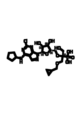 O=P(O)(O)[C@](CO)(COCC1CC1)OC[C@@H]1O[C@H](n2ncc3c(NC4CCCC4)nc(Cl)nc32)[C@@H](O)[C@H]1O